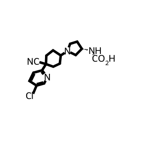 N#CC1(c2ccc(Cl)cn2)CCC(N2CC[C@H](NC(=O)O)C2)CC1